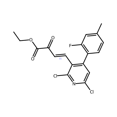 CCOC(=O)C(=O)/C=C/c1c(-c2ccc(C)cc2F)cc(Cl)nc1Cl